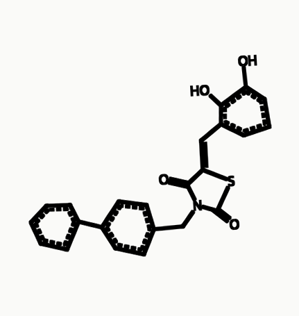 O=C1S/C(=C\c2cccc(O)c2O)C(=O)N1Cc1ccc(-c2ccccc2)cc1